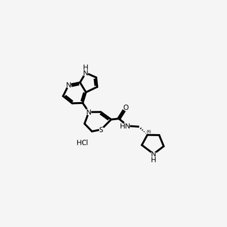 Cl.O=C(NC[C@@H]1CCNC1)C1=CN(c2ccnc3[nH]ccc23)CCS1